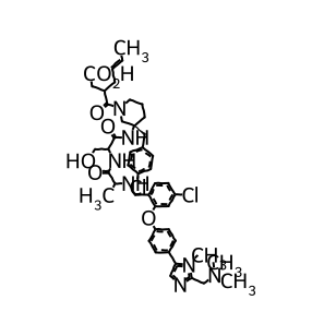 C/C=C/CC(CC(=O)O)C(=O)N1CCC[C@](Cc2ccc(Cl)cc2)(NC(=O)C(CO)NC(=O)C(C)NCc2ccc(Cl)cc2Oc2ccc(-c3cnc(CN(C)C)n3C)cc2)C1